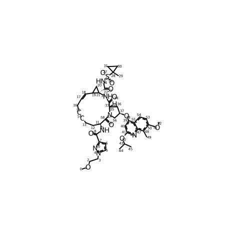 COCCn1ccc(C(=O)N[C@H]2CCCCC/C=C\C3C[C@@]3(C(=O)NS(=O)(=O)C3(C)CC3)NC(=O)[C@@H]3C[C@@H](Oc4cc(OC(C)C)nc5c(C)c(OC)ccc45)CN3C2=O)n1